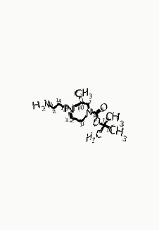 C[C@@H]1CN(C(=O)OC(C)(C)C)CCN1CCN